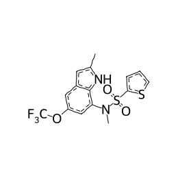 Cc1cc2cc(OC(F)(F)F)cc(N(C)S(=O)(=O)c3cccs3)c2[nH]1